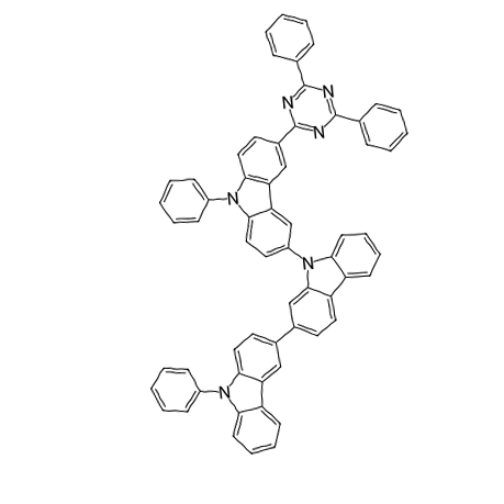 c1ccc(-c2nc(-c3ccccc3)nc(-c3ccc4c(c3)c3cc(-n5c6ccccc6c6ccc(-c7ccc8c(c7)c7ccccc7n8-c7ccccc7)cc65)ccc3n4-c3ccccc3)n2)cc1